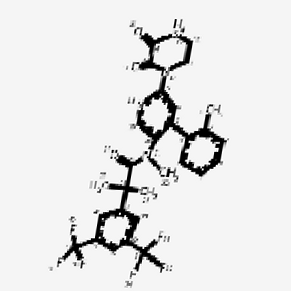 Cc1ccccc1-c1cc(N2CC[SH4]C(=O)C2=O)ncc1N(C)C(=O)C(C)(C)c1cc(C(F)(F)F)cc(C(F)(F)F)c1